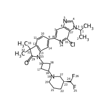 CC(C)n1cnc2cc(-c3ccc4c(c3)N(C3CC(N5CCC[C@H](C(F)F)C5)C3)C(=O)C4(C)C)nc(Cl)c21